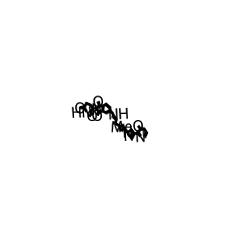 COc1cccnc1-c1cnn(C2CC(CCCNc3ccc4c(c3)C(=O)N(C3CCC(=O)NC3=O)C4=O)C2)c1